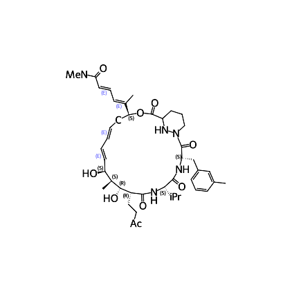 CNC(=O)/C=C/C=C(\C)[C@@H]1C/C=C/C=C/[C@H](O)[C@H](C)[C@@H](O)[C@@H](CCC(C)=O)C(=O)N[C@@H](C(C)C)C(=O)N[C@@H](Cc2cccc(C)c2)C(=O)N2CCCC(N2)C(=O)O1